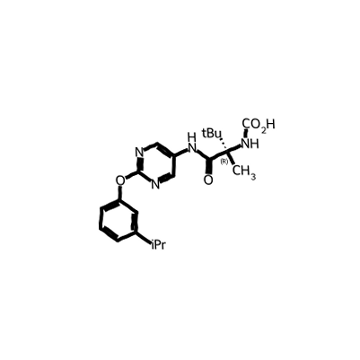 CC(C)c1cccc(Oc2ncc(NC(=O)[C@](C)(NC(=O)O)C(C)(C)C)cn2)c1